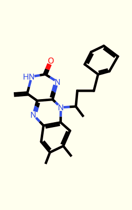 C=c1[nH]c(=O)nc2c1=Nc1cc(C)c(C)cc1N2C(C)CCc1ccccc1